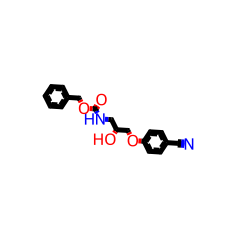 N#Cc1ccc(OCC(O)CNC(=O)OCc2ccccc2)cc1